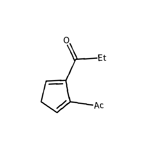 CCC(=O)C1=CCC=C1C(C)=O